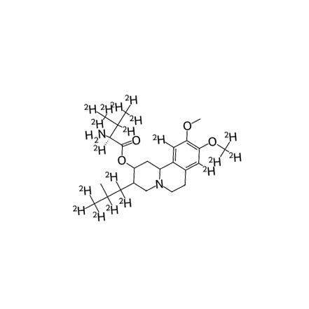 [2H]c1c2c(c([2H])c(OC)c1OC([2H])([2H])[2H])C1CC(OC(=O)[C@@]([2H])(N)C([2H])(C([2H])([2H])[2H])C([2H])([2H])[2H])C(C([2H])([2H])C([2H])(C)C([2H])([2H])[2H])CN1CC2